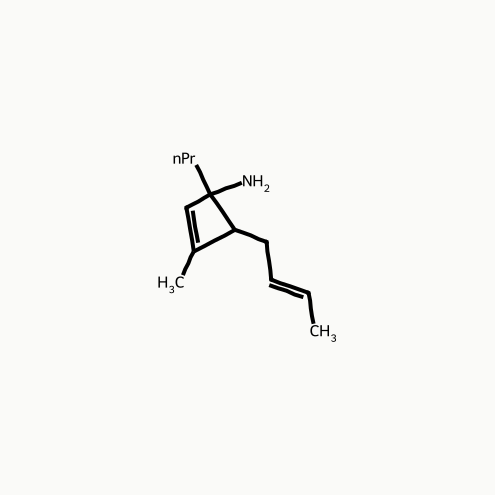 C/C=C/CC1C(C)=CC1(N)CCC